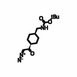 CC(C)(C)OC(=O)NC[C@H]1CC[C@H](C(=O)C=[N+]=[N-])CC1